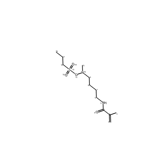 C=C(C)C(=O)NCCCCN(C)OS(=O)(=O)CCC